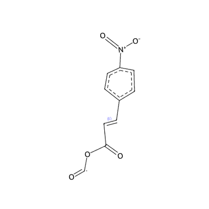 O=[C]OC(=O)/C=C/c1ccc([N+](=O)[O-])cc1